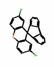 Brc1ccc2c(c1)C1(c3cc(Br)ccc3S2)c2ccccc2-c2ccccc21